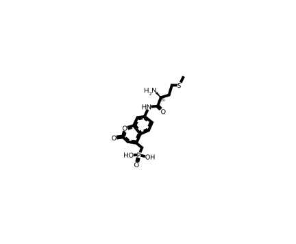 CSCC[C@H](N)C(=O)Nc1ccc2c(CP(=O)(O)O)cc(=O)oc2c1